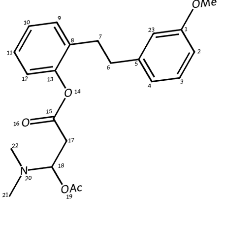 COc1cccc(CCc2ccccc2OC(=O)CC(OC(C)=O)N(C)C)c1